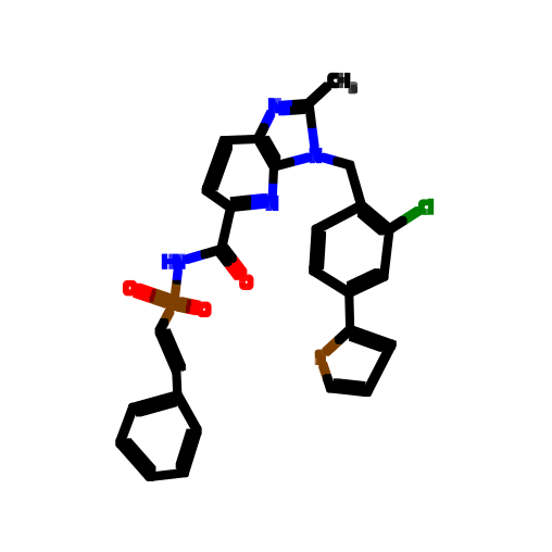 Cc1nc2ccc(C(=O)NS(=O)(=O)C=Cc3ccccc3)nc2n1Cc1ccc(-c2cccs2)cc1Cl